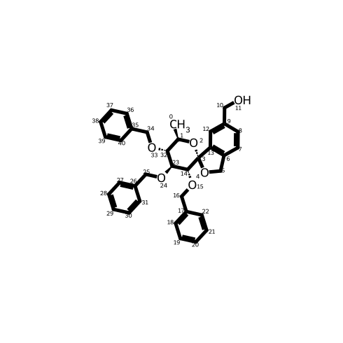 C[C@H]1O[C@]2(OCc3ccc(CO)cc32)[C@H](OCc2ccccc2)[C@@H](OCc2ccccc2)[C@@H]1OCc1ccccc1